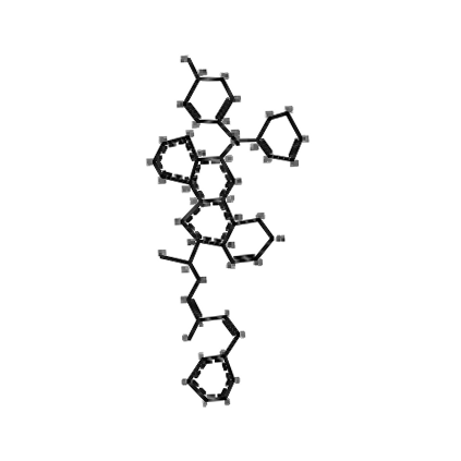 CC(/C=C\c1ccccc1)=C/CC(C)c1cc2c(cc(N(C3=CCC(C)C=C3)C3=CC=CCC3)c3ccccc32)c2c1C=CCC2